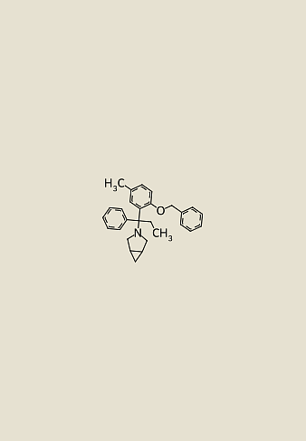 CCC(c1ccccc1)(c1cc(C)ccc1OCc1ccccc1)N1CC2CC2C1